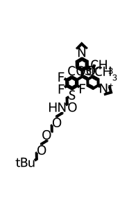 CC(C)(C)CCOCCOCCOCCNC(=O)CSc1c(F)c(F)c(C(=O)[O-])c(C2=C3C=CC(=[N+]4CCC4)C=C3[Si](C)(C)c3cc(N4CCC4)ccc32)c1F